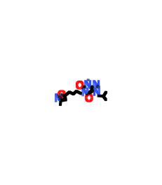 Cc1cc(CCCCn2c(=O)c3c(ncn3CC(C)C)n(C)c2=O)on1